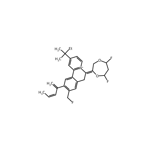 C=C(/C=C\C)c1cc2c(cc1CF)C/C(=C1/COC(F)CC(F)O1)[n+]1ccc(C(C)(C)CC)cc1-2